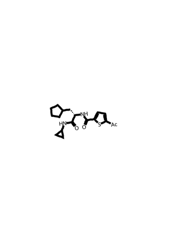 CC(=O)c1ccc(C(=O)N[C@@H](CC2CCCC2)C(=O)NC2CC2)s1